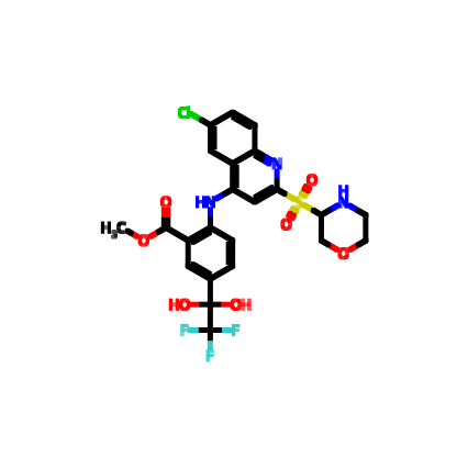 COC(=O)c1cc(C(O)(O)C(F)(F)F)ccc1Nc1cc(S(=O)(=O)C2COCCN2)nc2ccc(Cl)cc12